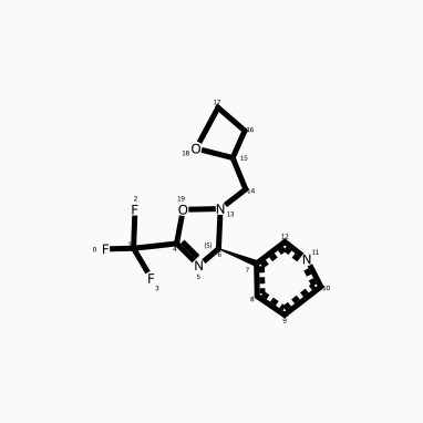 FC(F)(F)C1=N[C@H](c2cccnc2)N(CC2CCO2)O1